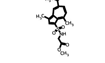 COC(=O)CNS(=O)(=O)c1cc(C)c2cc(C(C)C)ccc(C)c1-2